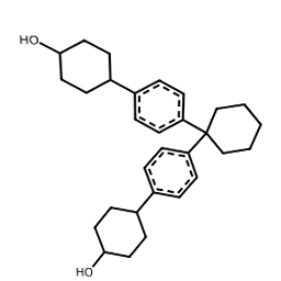 OC1CCC(c2ccc(C3(c4ccc(C5CCC(O)CC5)cc4)CCCCC3)cc2)CC1